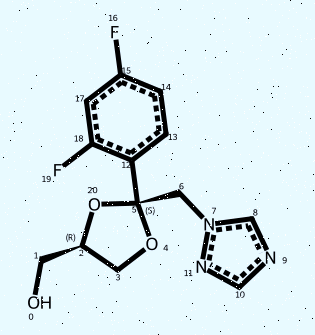 OC[C@@H]1CO[C@@](Cn2cncn2)(c2ccc(F)cc2F)O1